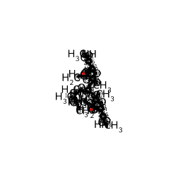 C=CCOC(=O)NC(C(=O)N[C@@H](C)C(=O)Nc1cc(COc2cc3c(cc2OC)C(=O)N2CC=C(c4ccc(S(=O)(=O)NC)cc4)C[C@H]2C(OC)N3C(=O)OCC=C)cc(COc2cc3c(cc2OC)C(=O)N2CC=C(c4ccc(S(=O)(=O)NC)cc4)C[C@H]2C(OC)N3C(=O)OCC=C)c1)C(C)C